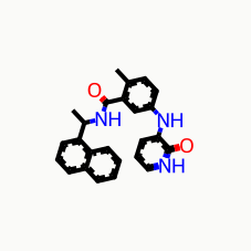 Cc1ccc(Nc2ccc[nH]c2=O)cc1C(=O)NC(C)c1cccc2ccccc12